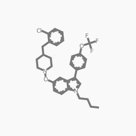 CCCCn1cc(-c2ccc(OC(F)(F)F)cc2)c2cc(ON3CCC(Cc4ccccc4Cl)CC3)ccc21